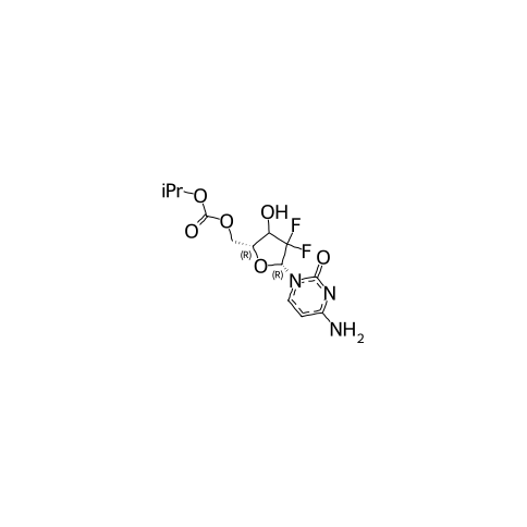 CC(C)OC(=O)OC[C@H]1O[C@@H](n2ccc(N)nc2=O)C(F)(F)C1O